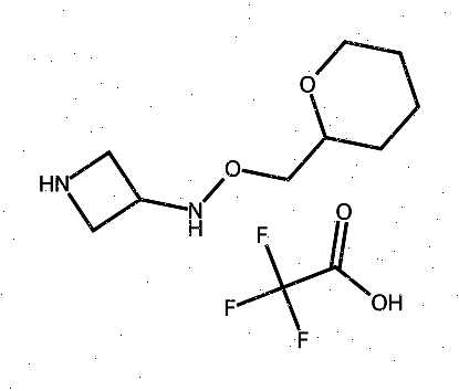 C1CCC(CONC2CNC2)OC1.O=C(O)C(F)(F)F